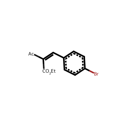 CCOC(=O)/C(=C\c1ccc(Br)cc1)C(C)=O